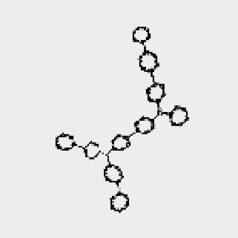 C1=C[C@H](N(c2ccc(-c3ccccc3)cc2)c2ccc(-c3ccc(N(c4ccccc4)c4ccc(-c5ccc(-c6ccccc6)cc5)cc4)cc3)cc2)CC=C1c1ccccc1